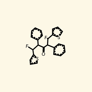 O=C(C(c1ccccc1)C(F)c1cccs1)C(c1ccccc1)C(F)c1cccs1